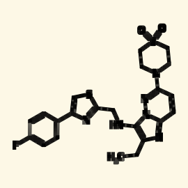 CCc1nc2ccc(N3CCS(=O)(=O)CC3)nn2c1NCc1nc(-c2ccc(F)cc2)cs1